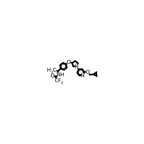 C[C@H](NC(=O)C(F)(F)F)c1ccc(OC2CCN(c3ccnc(OCC4CC4)c3)C2)cc1